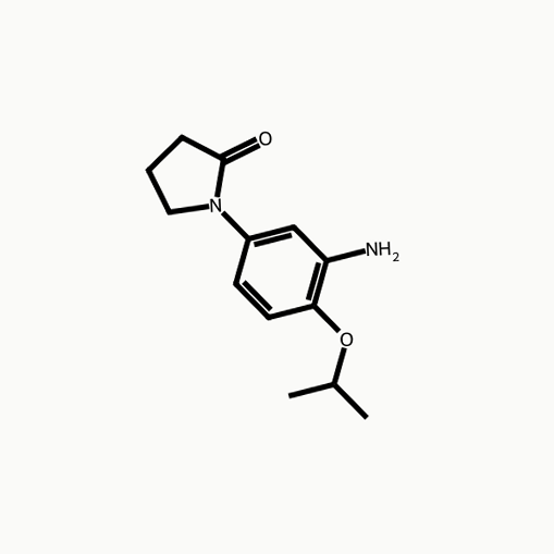 CC(C)Oc1ccc(N2CCCC2=O)cc1N